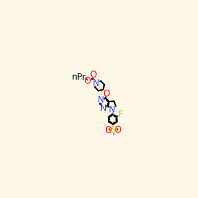 CCCOC(=O)N1CCC(Oc2ncnc3c2CCN3c2ccc(S(C)(=O)=O)cc2F)CC1